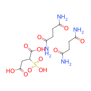 NC(=O)CCC(N)=O.NC(=O)CCC(N)=O.O=C(O)CC(C(=O)O)S(=O)(=O)O